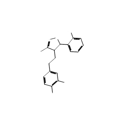 CCCc1ccc(CCC2C(Cl)=NSC2c2ccccc2C)cc1CC